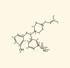 CC(C)=CCN1CCN(C(Cc2cccc(O)c2)c2ccccc2)CC1.Cl.Cl.O